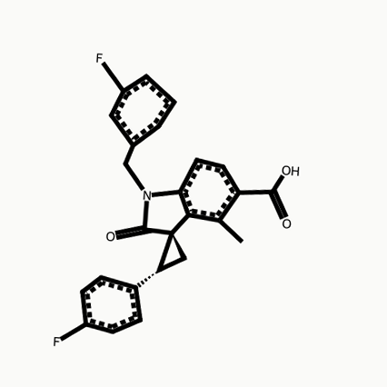 Cc1c(C(=O)O)ccc2c1[C@@]1(C[C@@H]1c1ccc(F)cc1)C(=O)N2Cc1cccc(F)c1